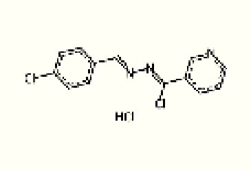 Cl.ClC(=NN=Cc1ccc(Cl)cc1)c1cccnc1